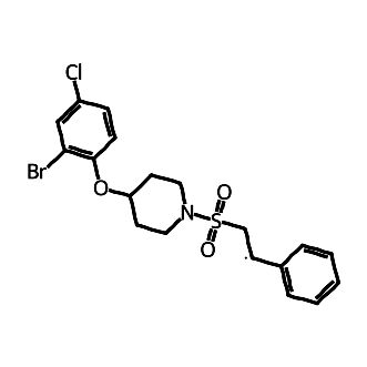 O=S(=O)(C[CH]c1ccccc1)N1CCC(Oc2ccc(Cl)cc2Br)CC1